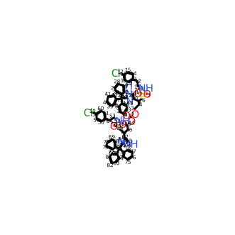 O=C(OCCC(CS(=O)(=O)NCCc1ccc(Cl)cc1)c1c[nH]c(C(c2ccccc2)(c2ccccc2)c2ccccc2)n1)OCCC(CS(=O)(=O)NCCc1ccc(Cl)cc1)c1c[nH]c(C(c2ccccc2)(c2ccccc2)c2ccccc2)n1